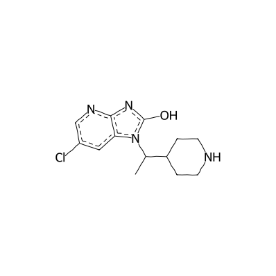 CC(C1CCNCC1)n1c(O)nc2ncc(Cl)cc21